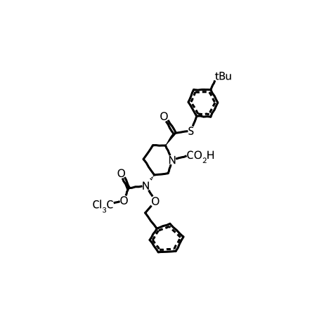 CC(C)(C)c1ccc(SC(=O)[C@@H]2CC[C@@H](N(OCc3ccccc3)C(=O)OC(Cl)(Cl)Cl)CN2C(=O)O)cc1